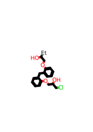 CCC(O)COc1ccccc1Cc1ccccc1OCC(O)CCl